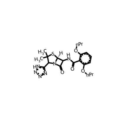 CCCOc1cccc(OCCC)c1C(=O)NC1C(=O)N2C(c3nnn[nH]3)C(C)(C)S[C@@H]12